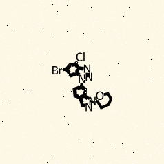 Clc1cc(Br)cc2c1nnn2-c1ccc2cnn(C3CCCCO3)c2c1